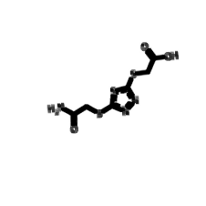 NC(=O)CSc1nnc(SCC(=O)O)s1